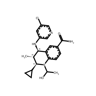 CC(O)N1c2ccc(C(N)=O)cc2[C@H](Nc2cncc(Cl)c2)[C@@H](C)[C@@H]1C1CC1